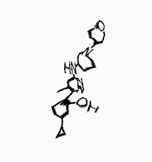 Cc1cc(N[C@@H]2CCCN(C3CCOCC3)C2)nnc1-c1ccc(C2CC2)cc1O